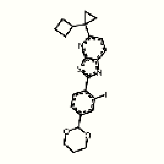 Fc1cc(C2OCCCO2)ccc1-c1nc2ccc(C3(C4CCC4)CC3)nc2s1